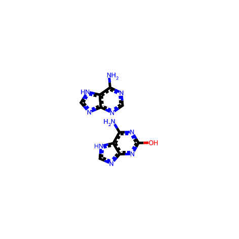 Nc1nc(O)nc2nc[nH]c12.Nc1ncnc2nc[nH]c12